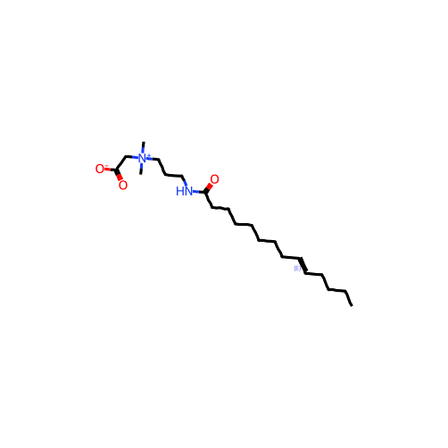 CCCC/C=C/CCCCCCCC(=O)NCCC[N+](C)(C)CC(=O)[O-]